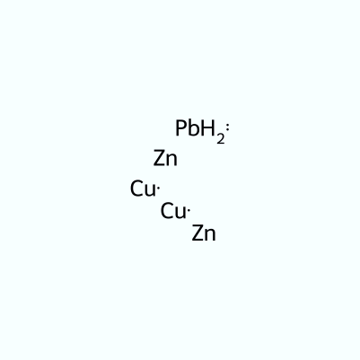 [Cu].[Cu].[PbH2].[Zn].[Zn]